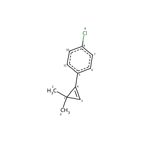 CC1(C)C=C1c1ccc(Cl)cc1